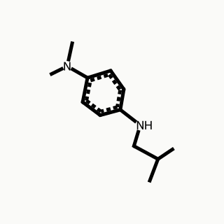 CC(C)CNc1ccc(N(C)C)cc1